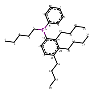 CCCCCP(c1ccccc1)c1ccc(CCCC)c(CCCC)c1CCCC